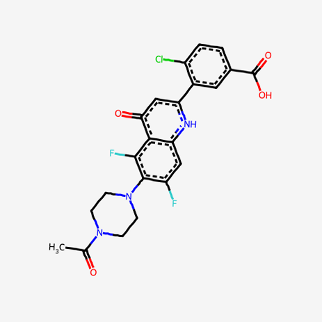 CC(=O)N1CCN(c2c(F)cc3[nH]c(-c4cc(C(=O)O)ccc4Cl)cc(=O)c3c2F)CC1